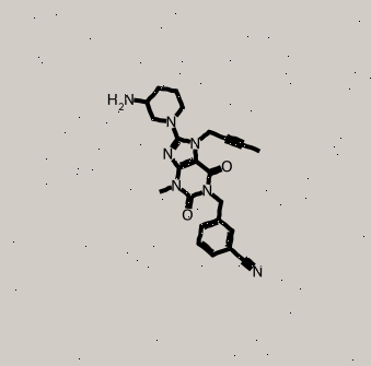 CC#CCn1c(N2CCCC(N)C2)nc2c1c(=O)n(Cc1cccc(C#N)c1)c(=O)n2C